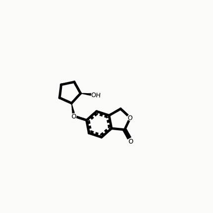 O=C1OCc2cc(O[C@H]3CCC[C@H]3O)ccc21